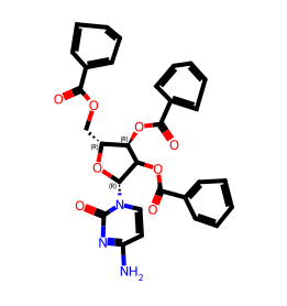 Nc1ccn([C@@H]2O[C@H](COC(=O)c3ccccc3)[C@@H](OC(=O)c3ccccc3)C2OC(=O)c2ccccc2)c(=O)n1